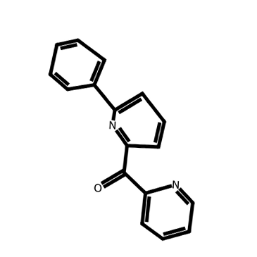 O=C(c1ccccn1)c1cccc(-c2ccccc2)n1